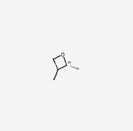 CC1CO[C@@H]1C